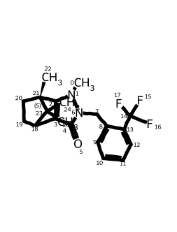 Cn1c2c(c(=O)n1Cc1ccccc1C(F)(F)F)C1CC[C@@]2(C)C1(C)C